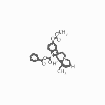 CCC1C[C@H]2C[C@H]3c4c(c5cc(OC(=O)OC)ccc5n4C(=O)OC(=O)c4ccccc4)CCN(C2)C13